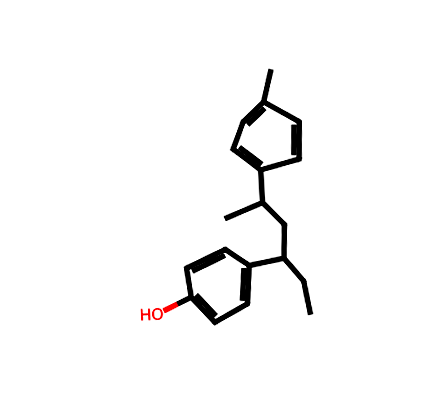 CCC(CC(C)c1ccc(C)cc1)c1ccc(O)cc1